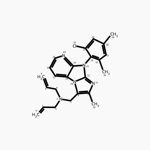 C=CCN(CC=C)Cc1c(C)nc2n(-c3c(C)cc(C)cc3Cl)c3ncccc3n12